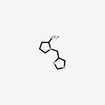 O=C(O)C1CCCN1CC1COCO1